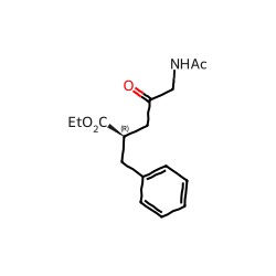 CCOC(=O)[C@@H](CC(=O)CNC(C)=O)Cc1ccccc1